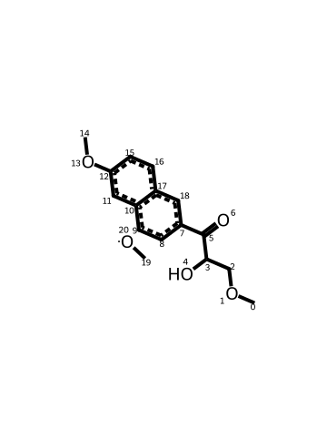 COCC(O)C(=O)c1ccc2cc(OC)ccc2c1.C[O]